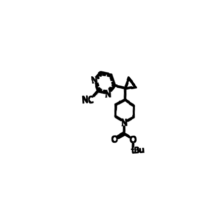 CC(C)(C)OC(=O)N1CCC(C2(c3ccnc(C#N)n3)CC2)CC1